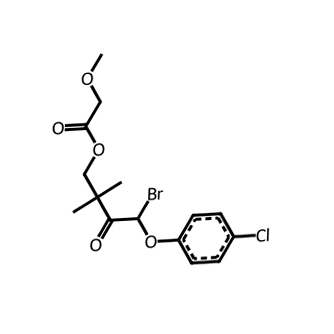 COCC(=O)OCC(C)(C)C(=O)C(Br)Oc1ccc(Cl)cc1